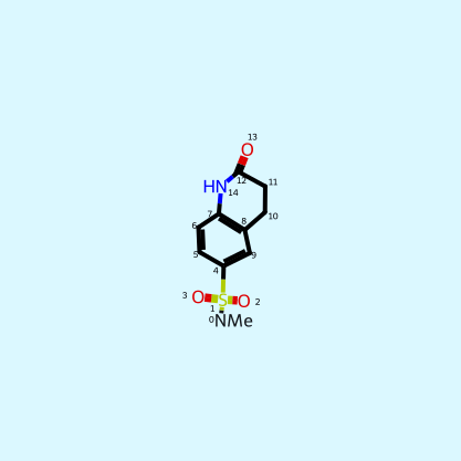 CNS(=O)(=O)c1ccc2c(c1)CCC(=O)N2